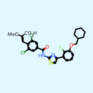 COC(=Cc1c(Cl)cc(C(=O)Nc2nc(-c3cccc(OCC4CCCCC4)c3F)cs2)cc1Cl)C(=O)O